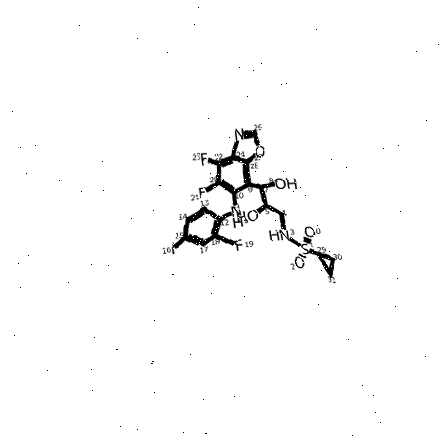 O=S(=O)(NCC(O)C(O)c1c(Nc2ccc(I)cc2F)c(F)c(F)c2ncoc12)C1CC1